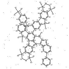 CB1c2sc3ccc(-c4ccccc4)cc3c2-n2c3cc4c(cc3c3c5c(c(-c6cc7c(cc6Nc6ccc(C(C)(C)C)cc6)-c6cc8c(cc6C7(C)C)C(C)(C)CCC8(C)C)c1c32)-c1ccccc1C5(C)C)C(C)(C)CCC4(C)C